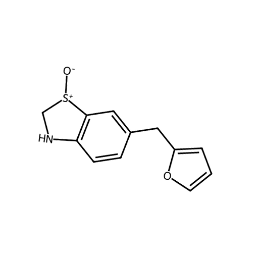 [O-][S+]1CNc2ccc(Cc3ccco3)cc21